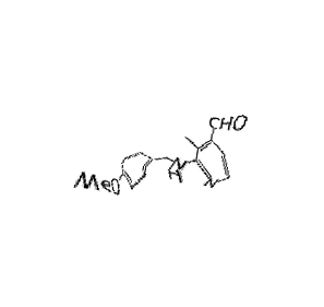 COc1ccc(CNc2nccc(C=O)c2C)cc1